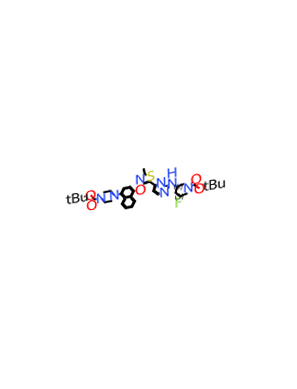 Cc1nc(Oc2ccc(N3CCN(C(=O)OC(C)(C)C)CC3)c3ccccc23)c(-c2ccnc(N[C@H]3C[C@H](F)CN(C(=O)OC(C)(C)C)C3)n2)s1